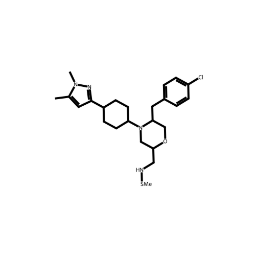 CSNCC1CN(C2CCC(c3cc(C)n(C)n3)CC2)C(Cc2ccc(Cl)cc2)CO1